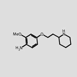 COc1cc(OCCC2CCCCN2)ccc1N